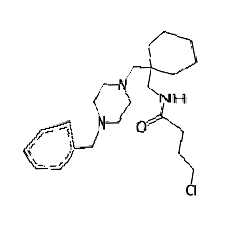 O=C(CCCCl)NCC1(CN2CCN(Cc3ccccc3)CC2)CCCCC1